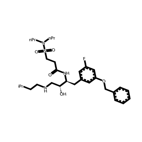 CCCN(CCC)S(=O)(=O)CCC(=O)N[C@@H](Cc1cc(F)cc(OCc2ccccc2)c1)[C@H](O)CNCCC(C)C